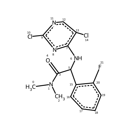 CN(C)C(=O)C(Nc1nc(Cl)ncc1Cl)c1ccccc1F